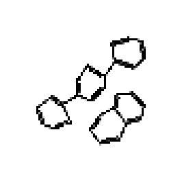 c1ccc(-c2ccc(-c3ccccc3)cc2)cc1.c1ccc2ccccc2c1